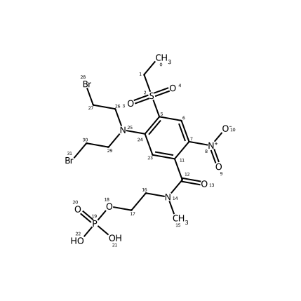 CCS(=O)(=O)c1cc([N+](=O)[O-])c(C(=O)N(C)CCOP(=O)(O)O)cc1N(CCBr)CCBr